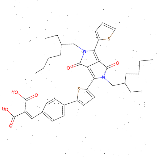 CCCCC(CC)CN1C(=O)C2=C(c3ccc(-c4ccc(C=C(C(=O)O)C(=O)O)cc4)s3)N(CC(CC)CCCC)C(=O)C2=C1c1cccs1